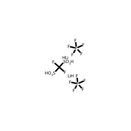 FP(F)(F)(F)F.FP(F)(F)(F)F.O=S(=O)(O)C(F)(F)S(=O)(=O)O.[LiH].[LiH]